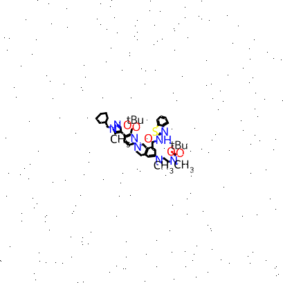 Cc1c(-c2ccc(N3CCc4cc(N(C)CCN(C)C(=O)OC(C)(C)C)cc(C(=O)Nc5nc6ccccc6s5)c4C3)nc2C(=O)OC(C)(C)C)cnn1CC1CCCCC1